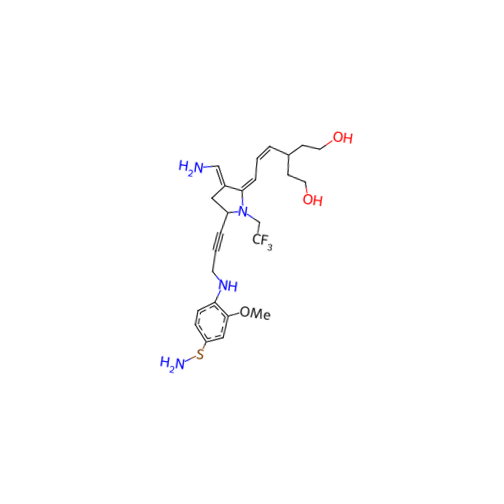 COc1cc(SN)ccc1NCC#CC1CC(=C\N)/C(=C\C=C/C(CCO)CCO)N1CC(F)(F)F